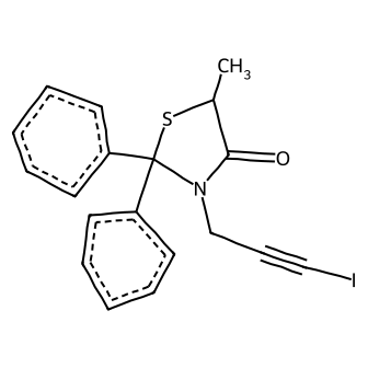 CC1SC(c2ccccc2)(c2ccccc2)N(CC#CI)C1=O